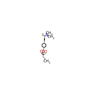 CCCC12COC(c3ccc(C#CC(=S)N(C)C)cc3)(OC1)OC2